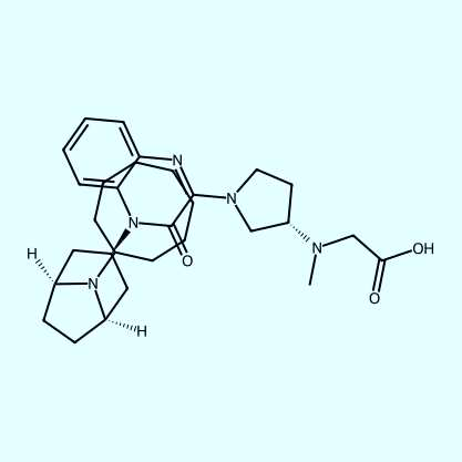 CN(CC(=O)O)[C@H]1CCN(c2nc3ccccc3n([C@H]3C[C@H]4CC[C@@H](C3)N4C3CCCCCCC3)c2=O)C1